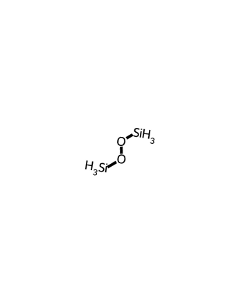 [SiH3]OO[SiH3]